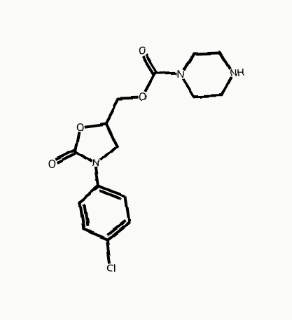 O=C(OCC1CN(c2ccc(Cl)cc2)C(=O)O1)N1CCNCC1